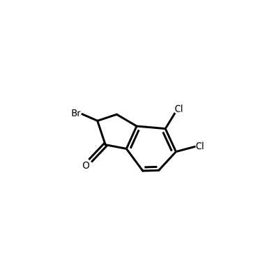 O=C1c2ccc(Cl)c(Cl)c2CC1Br